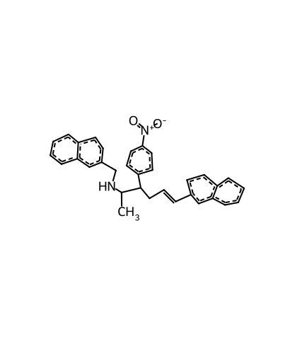 CC(NCc1ccc2ccccc2c1)C(C/C=C/c1ccc2ccccc2c1)c1ccc([N+](=O)[O-])cc1